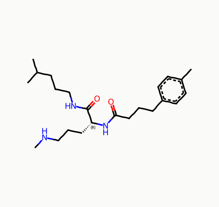 CNCCC[C@@H](NC(=O)CCCc1ccc(C)cc1)C(=O)NCCCC(C)C